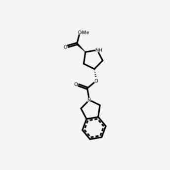 COC(=O)[C@@H]1C[C@@H](OC(=O)N2Cc3ccccc3C2)CN1